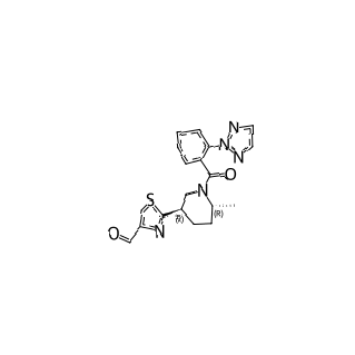 C[C@@H]1CC[C@@H](c2nc(C=O)cs2)CN1C(=O)c1ccccc1-n1nccn1